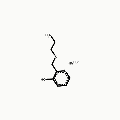 Br.Br.NCCSCc1ncccc1O